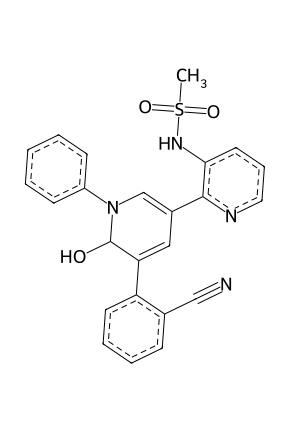 CS(=O)(=O)Nc1cccnc1C1=CN(c2ccccc2)C(O)C(c2ccccc2C#N)=C1